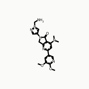 COc1cc(-c2cc(N(C)C)c3c(n2)CN(c2cnn(CN)c2)C3=O)cnc1OC